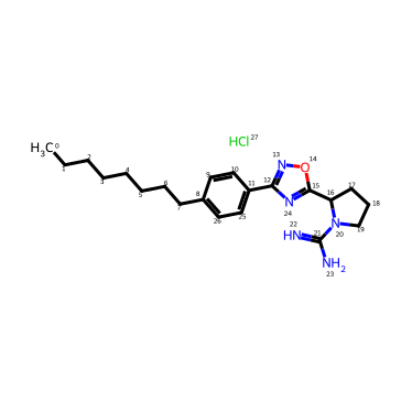 CCCCCCCCc1ccc(-c2noc(C3CCCN3C(=N)N)n2)cc1.Cl